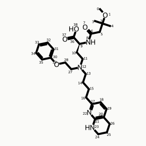 COC(C)(C)CC(=O)N[C@@H](CCN(CCCCc1ccc2c(n1)NCCC2)CCOc1ccccc1)C(=O)O